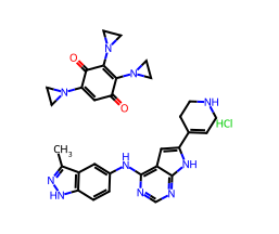 Cc1n[nH]c2ccc(Nc3ncnc4[nH]c(C5=CCNCC5)cc34)cc12.Cl.O=C1C=C(N2CC2)C(=O)C(N2CC2)=C1N1CC1